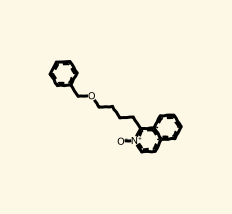 [O-][n+]1ccc2ccccc2c1CCCCOCc1ccccc1